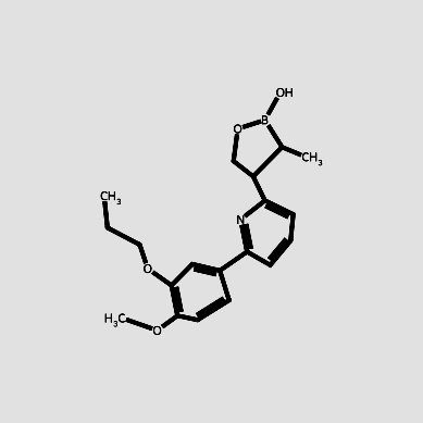 CCCOc1cc(-c2cccc(C3COB(O)C3C)n2)ccc1OC